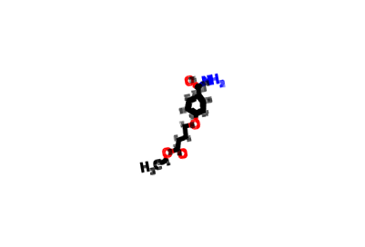 CCOC(=O)CCCOc1ccc(C(N)=O)cc1